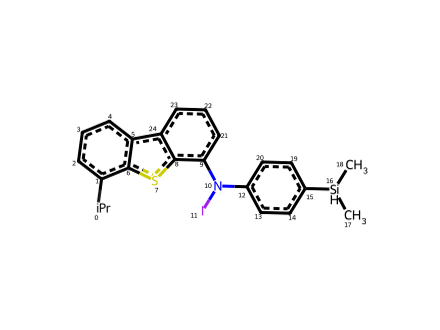 CC(C)c1cccc2c1sc1c(N(I)c3ccc([SiH](C)C)cc3)cccc12